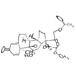 COC(=O)O[C@]1(C(=O)COC(C)=O)CC[C@H]2[C@@H]3CCC4=CC(=O)C=C[C@]4(C)[C@@]3(Cl)C(O)C[C@@]21C